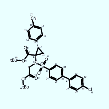 CC(C)(C)OC(=O)CN([C@]1(C(=O)OC(C)(C)C)C[C@H]1c1ccc(C#N)cc1)S(=O)(=O)c1ccc(-c2ccc(Cl)cc2)cc1